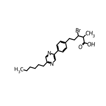 CCCCCCc1cnc(-c2ccc(CCC(Br)C(C)C(=O)O)cc2)cn1